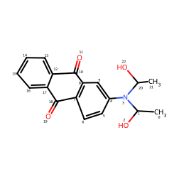 CC(O)N(c1ccc2c(c1)C(=O)c1ccccc1C2=O)C(C)O